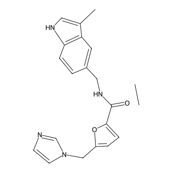 CC.Cc1c[nH]c2ccc(CNC(=O)c3ccc(Cn4ccnc4)o3)cc12